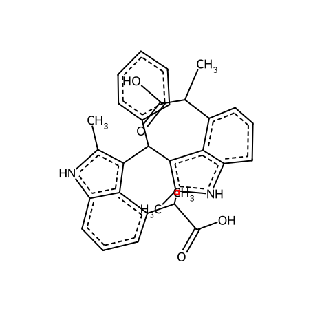 Cc1[nH]c2cccc(C(C)C(=O)O)c2c1C(c1ccccc1)c1c(C)[nH]c2cccc(C(C)C(=O)O)c12